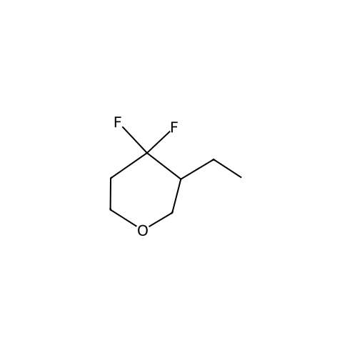 CCC1COCCC1(F)F